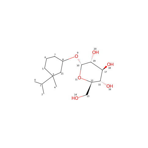 CC(C)C1(C)CCCC(O[C@H]2O[C@H](CO)[C@@H](O)[C@H](O)[C@H]2O)C1